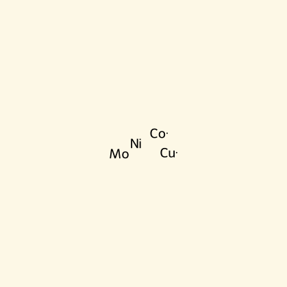 [Co].[Cu].[Mo].[Ni]